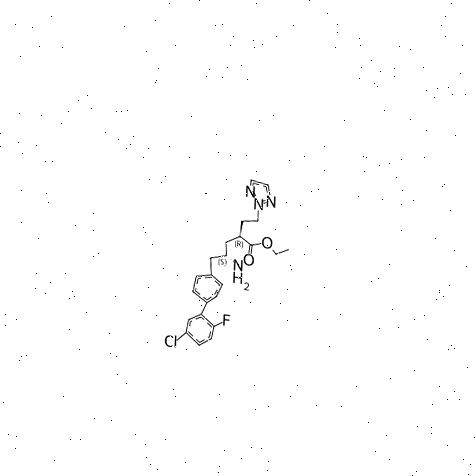 CCOC(=O)[C@H](CCn1nccn1)C[C@H](N)Cc1ccc(-c2cc(Cl)ccc2F)cc1